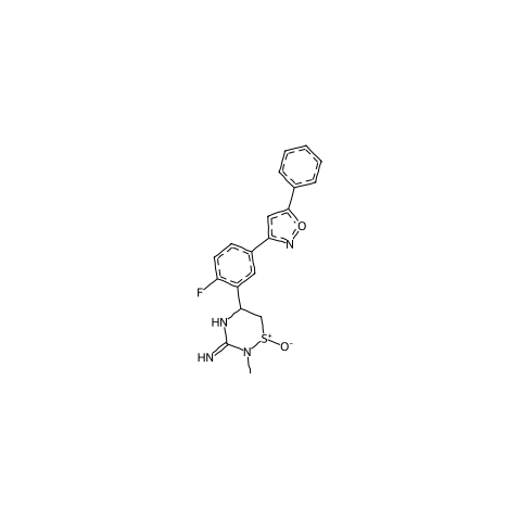 CN1C(=N)NC(c2cc(-c3cc(-c4ccccc4)on3)ccc2F)C[S+]1[O-]